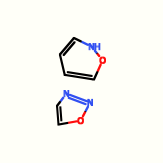 C1=CNOC=C1.c1conn1